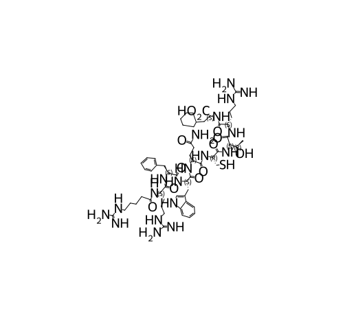 C[C@@H](O)[C@H](NC(=O)[C@H](CS)NC(=O)[C@H](CCC(N)=O)NC(=O)[C@H](Cc1c[nH]c2ccccc12)NC(=O)[C@H](Cc1ccccc1)NC(=O)[C@H](CCCNC(=N)N)NC(=O)CCCCNC(=N)N)C(=O)N[C@@H](CCCNC(=N)N)C(=O)N[C@@H](CC1CCCCC1)C(=O)O